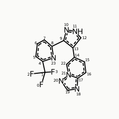 FC(F)(F)c1cccc(-c2n[nH]cc2-c2ccc3ncnn3c2)n1